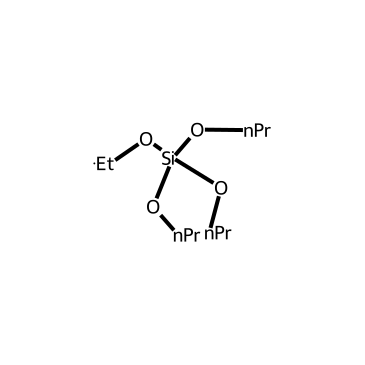 C[CH]O[Si](OCCC)(OCCC)OCCC